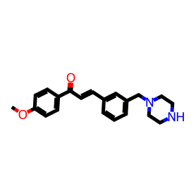 COc1ccc(C(=O)C=Cc2cccc(CN3CCNCC3)c2)cc1